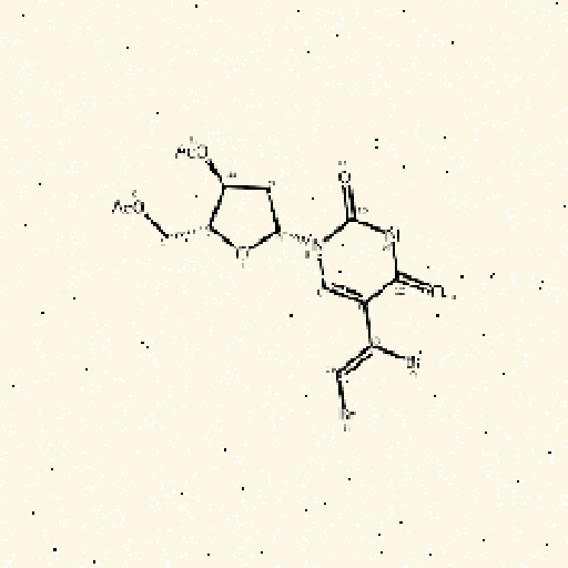 CC(=O)OC[C@H]1O[C@@H](n2cc(C(Br)=CBr)c(=O)[nH]c2=O)C[C@@H]1OC(C)=O